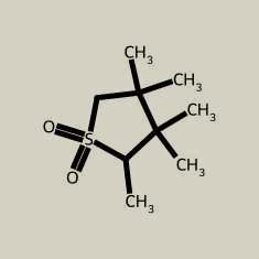 CC1C(C)(C)C(C)(C)CS1(=O)=O